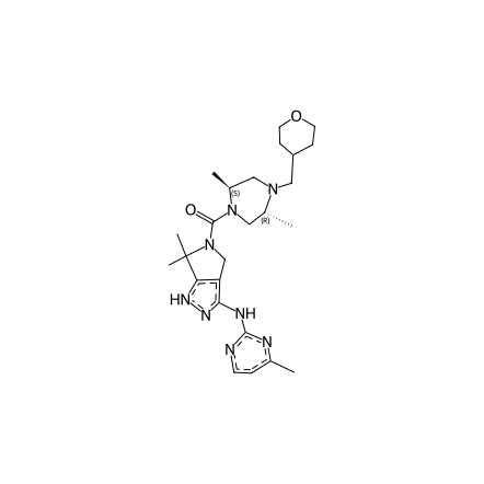 Cc1ccnc(Nc2n[nH]c3c2CN(C(=O)N2C[C@@H](C)N(CC4CCOCC4)C[C@@H]2C)C3(C)C)n1